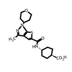 Cc1nn(C2CCOCC2)c2sc(C(=O)N[C@H]3CC[C@H](C(=O)O)CC3)cc12